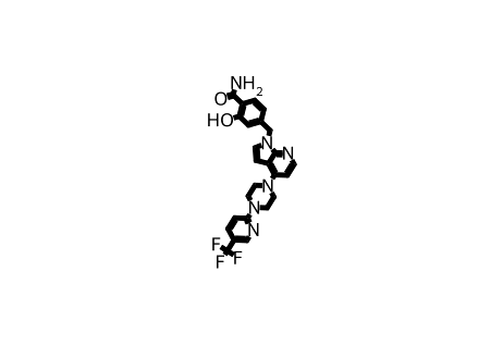 NC(=O)c1ccc(Cn2ccc3c(N4CCN(c5ccc(C(F)(F)F)cn5)CC4)ccnc32)cc1O